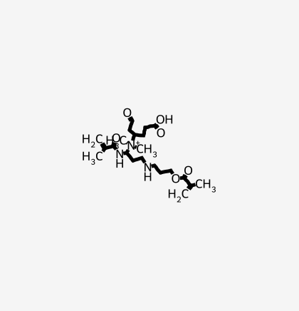 C=C(C)C(=O)NC(CCNCCCOC(=O)C(=C)C)[N+](C)(C)C(CC=O)CCC(=O)O